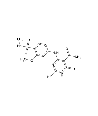 CNS(=O)(=O)c1ccc(Nc2nc(S)[nH]c(=O)c2C(N)=O)cc1OC